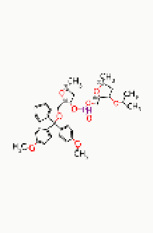 COc1ccc(C(OC[C@H]2O[C@@H](C)CC2O[PH](=O)OC[C@H]2O[C@@H](C)CC2OC(C)C)(c2ccccc2)c2ccc(OC)cc2)cc1